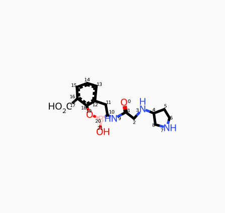 O=C(CNC1CCNC1)NC1Cc2cccc(C(=O)O)c2OB1O